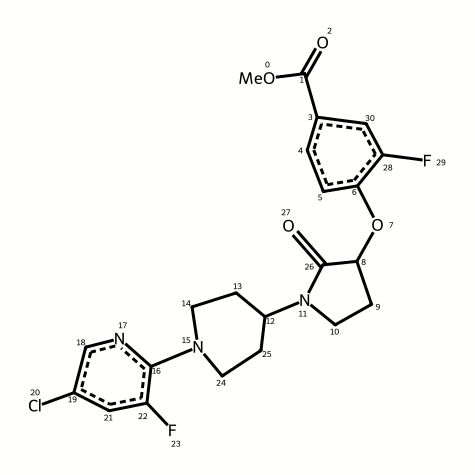 COC(=O)c1ccc(OC2CCN(C3CCN(c4ncc(Cl)cc4F)CC3)C2=O)c(F)c1